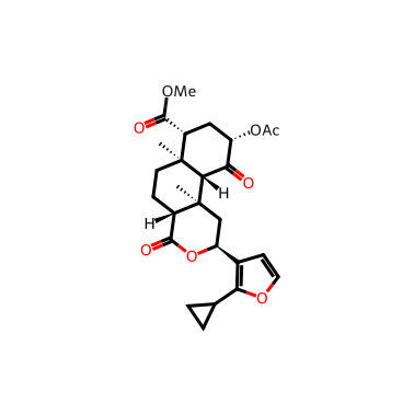 COC(=O)[C@@H]1C[C@H](OC(C)=O)C(=O)[C@H]2[C@@]1(C)CC[C@H]1C(=O)O[C@H](c3ccoc3C3CC3)C[C@]21C